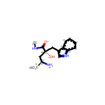 CCNC(=O)[C@@](O)(Cc1c[nH]c2ccccc12)C[C@@H](N)C(=O)O